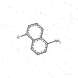 Nc1cccc2c1ccc[n+]2[O-]